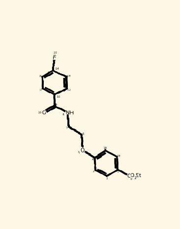 CCOC(=O)c1ccc(OCCNC(=O)c2ccc(F)cc2)cc1